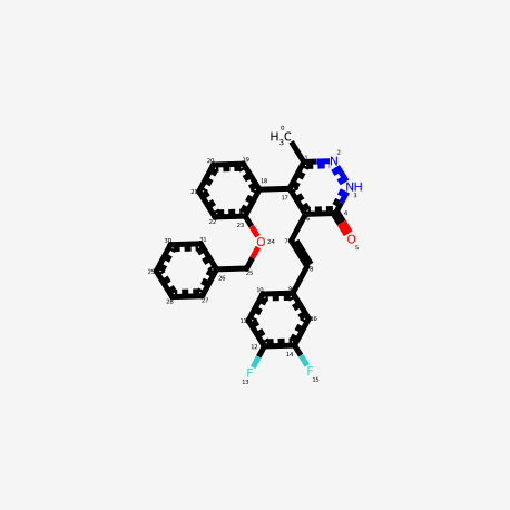 Cc1n[nH]c(=O)c(C=Cc2ccc(F)c(F)c2)c1-c1ccccc1OCc1ccccc1